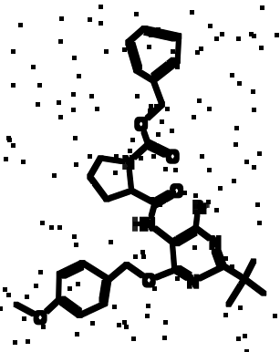 COc1ccc(COc2nc(C(C)(C)C)nc(Br)c2NC(=O)C2CCCN2C(=O)OCc2ccccc2)cc1